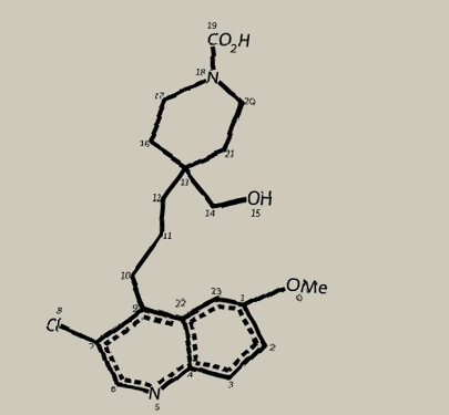 COc1ccc2ncc(Cl)c(CCCC3(CO)CCN(C(=O)O)CC3)c2c1